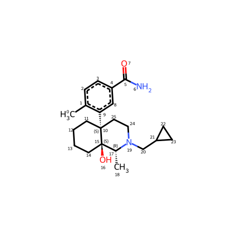 Cc1ccc(C(N)=O)cc1[C@@]12CCCC[C@@]1(O)[C@@H](C)N(CC1CC1)CC2